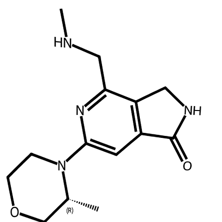 CNCc1nc(N2CCOC[C@H]2C)cc2c1CNC2=O